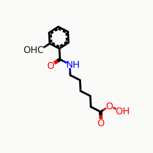 O=Cc1ccccc1C(=O)NCCCCCC(=O)OO